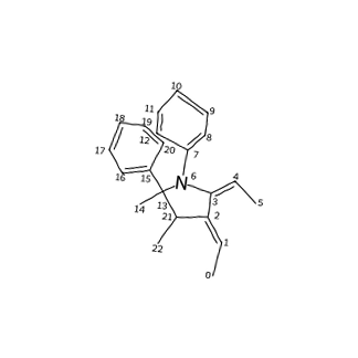 CC=C1C(=CC)N(c2ccccc2)C(C)(c2ccccc2)C1C